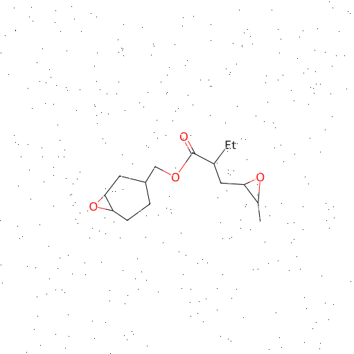 CCC(CC1OC1C)C(=O)OCC1CCC2OC2C1